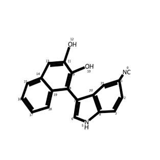 [C-]#[N+]c1ccc2[nH]cc(-c3c(O)c(O)cc4ccccc34)c2c1